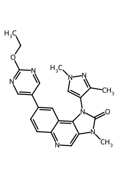 CCOc1ncc(-c2ccc3ncc4c(c3c2)n(-c2cn(C)nc2C)c(=O)n4C)cn1